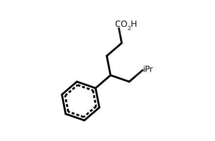 CC(C)CC(CCC(=O)O)c1ccccc1